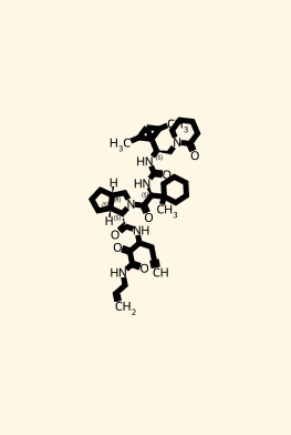 C#CCC(NC(=O)[C@@H]1[C@H]2CCC[C@H]2CN1C(=O)[C@@H](NC(=O)N[C@H](CN1CCCCC1=O)C12C(C)C1C2C)C1(C)CCCCC1)C(=O)C(=O)NCC=C